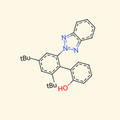 CC(C)(C)c1cc(-n2nc3ccccc3n2)c(-c2ccccc2O)c(C(C)(C)C)c1